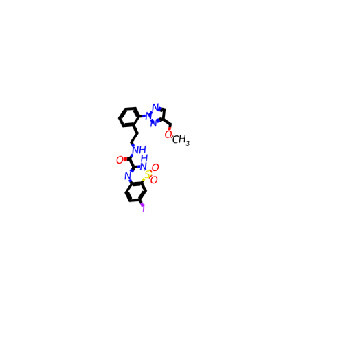 COCc1cnn(-c2ccccc2CCNC(=O)C2=Nc3ccc(I)cc3S(=O)(=O)N2)n1